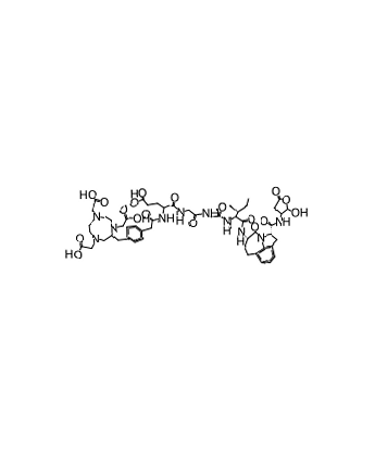 CC[C@H](C)[C@H](NC(=O)CNC(=O)CNC(=O)C(CCC(=O)O)NC(=O)Cc1ccc(CC2CN(CC(=O)O)CCN(CC(=O)O)CCN2CC(=O)O)cc1)C(=O)N[C@H]1CCc2cccc3c2N(C1=O)[C@H](C(=O)NC1CC(=O)OC1O)C3